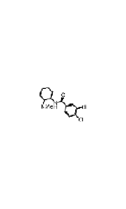 CNC1CCCCC1NC(=O)c1ccc(Cl)c(Cl)c1